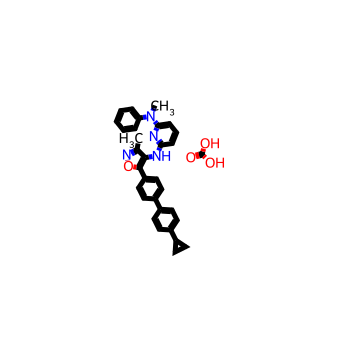 Cc1noc(-c2ccc(-c3ccc(C4CC4)cc3)cc2)c1Nc1cccc(N(C)c2ccccc2)n1.O=C(O)O